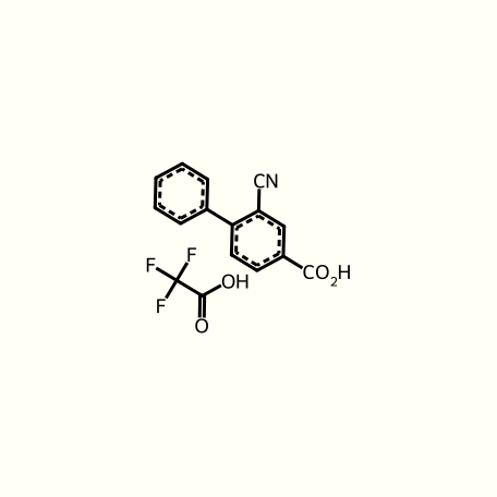 N#Cc1cc(C(=O)O)ccc1-c1ccccc1.O=C(O)C(F)(F)F